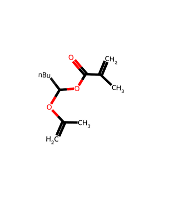 C=C(C)OC(CCCC)OC(=O)C(=C)C